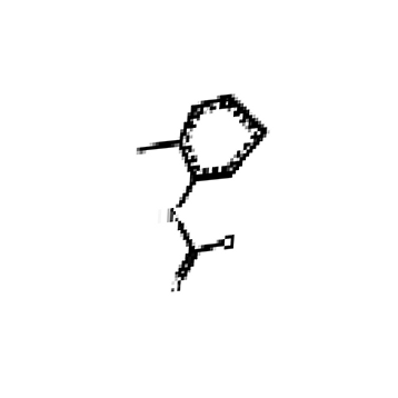 Cc1ccccc1NC(=O)Cl